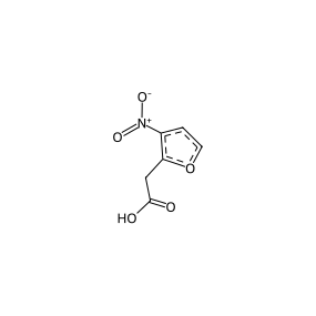 O=C(O)Cc1occc1[N+](=O)[O-]